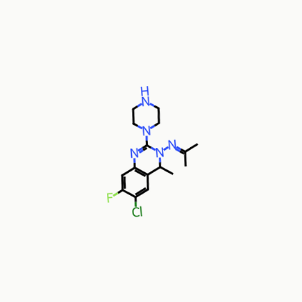 CC(C)=NN1C(N2CCNCC2)=Nc2cc(F)c(Cl)cc2C1C